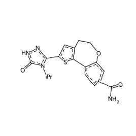 CC(C)n1c(-c2cc3c(s2)-c2ccc(C(N)=O)cc2OCC3)n[nH]c1=O